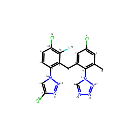 Cc1cc(Cl)cc(Cc2c(-n3cc(Cl)nn3)ccc(Cl)c2F)c1-n1cnnn1